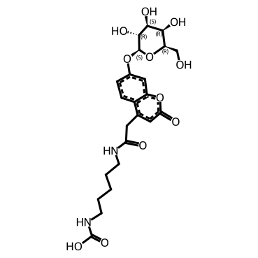 O=C(O)NCCCCCNC(=O)Cc1cc(=O)oc2cc(O[C@@H]3O[C@H](CO)[C@H](O)[C@H](O)[C@H]3O)ccc12